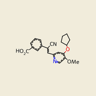 COc1cnc(/C=C(\C#N)c2cccc(C(=O)O)c2)cc1OC1CCCC1